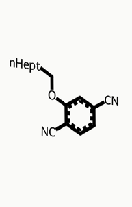 CCCCCCCCOc1cc(C#N)ccc1C#N